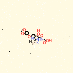 CC1NC(C(=O)NCC(=O)O)=C(O)c2ccc(Oc3ccc4c(c3)OCCO4)nc21